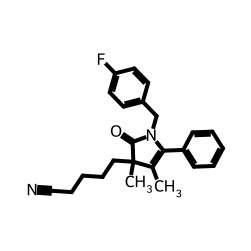 CC1=C(c2ccccc2)N(Cc2ccc(F)cc2)C(=O)C1(C)CCCCC#N